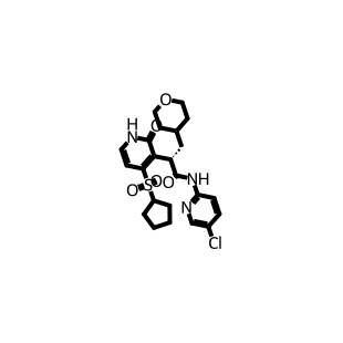 O=C(Nc1ccc(Cl)cn1)[C@@H](CC1CCOCC1)c1c(S(=O)(=O)C2CCCC2)cc[nH]c1=O